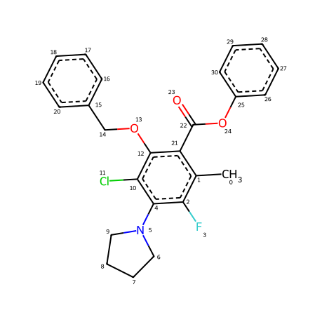 Cc1c(F)c(N2CCCC2)c(Cl)c(OCc2ccccc2)c1C(=O)Oc1ccccc1